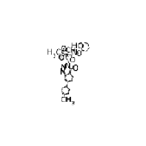 Cc1ccc(-c2ccc3c(=O)n(CC[C@](C)(C(=O)NOC4CCCCO4)S(C)(=O)=O)nnc3c2)cc1